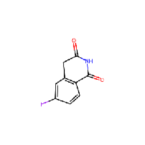 O=C1Cc2cc(I)ccc2C(=O)N1